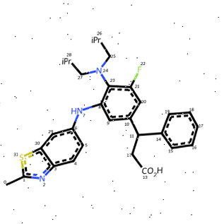 Cc1nc2ccc(Nc3cc(C(CC(=O)O)c4ccccc4)cc(F)c3N(CC(C)C)CC(C)C)cc2s1